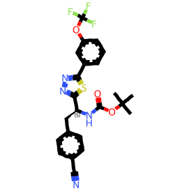 CC(C)(C)OC(=O)N[C@@H](Cc1ccc(C#N)cc1)c1nnc(-c2cccc(OC(F)(F)F)c2)s1